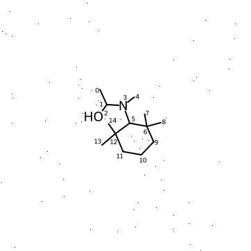 CC(O)N(C)C1C(C)(C)CCCC1(C)C